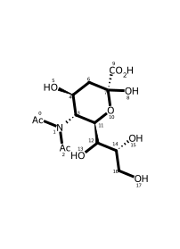 CC(=O)N(C(C)=O)[C@@H]1[C@@H](O)C[C@](O)(C(=O)O)O[C@H]1C(O)[C@H](O)CO